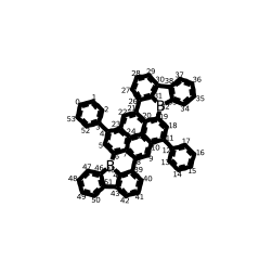 c1ccc(-c2cc3c4c(cc5c(-c6ccccc6)cc6c7c(cc2c4c57)-c2cccc4c2B6c2ccccc2-4)-c2cccc4c2B3c2ccccc2-4)cc1